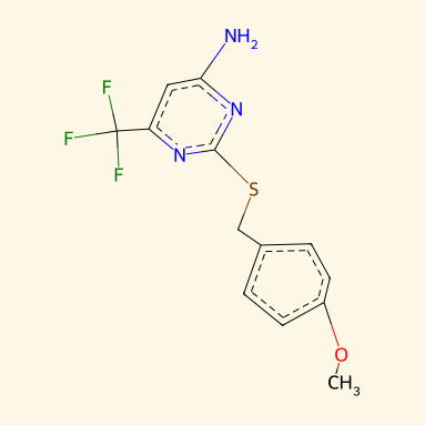 COc1ccc(CSc2nc(N)cc(C(F)(F)F)n2)cc1